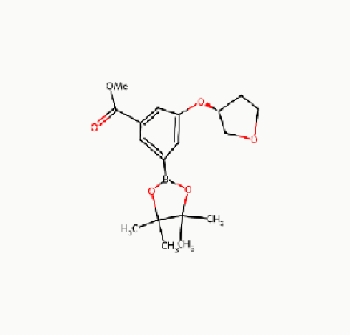 COC(=O)c1cc(O[C@H]2CCOC2)cc(B2OC(C)(C)C(C)(C)O2)c1